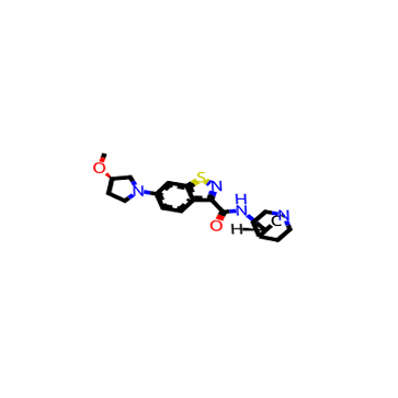 CO[C@@H]1CCN(c2ccc3c(C(=O)N[C@@H]4CN5CCC4CC5)nsc3c2)C1